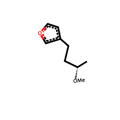 CO[C@@H](C)CCc1ccoc1